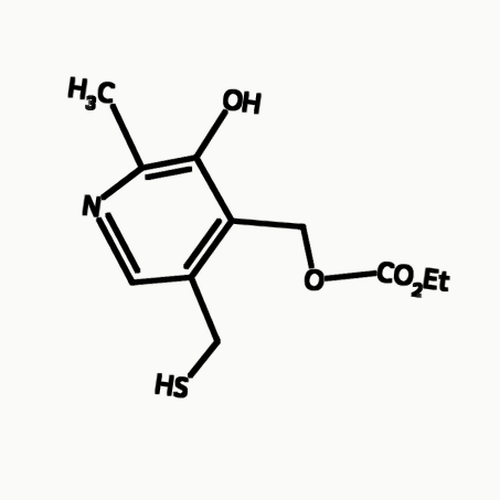 CCOC(=O)OCc1c(CS)cnc(C)c1O